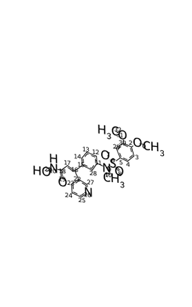 COc1ccc(S(=O)(=O)N(C)c2cccc(C(=CC(=O)NO)c3cccnc3)c2)cc1OC